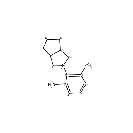 Cc1cccc(N)c1N1CC2CCCC2C1